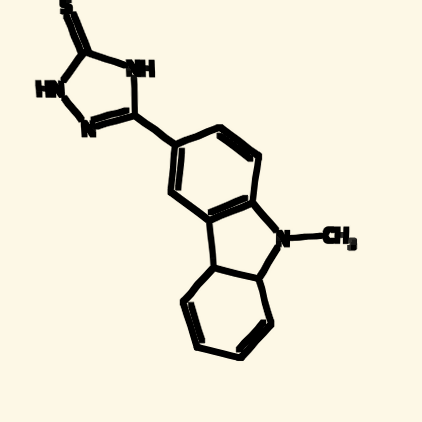 CN1c2ccc(-c3n[nH]c(=S)[nH]3)cc2C2C=CC=CC21